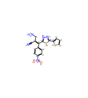 N#C/C(CN)=C(\c1ccc([N+](=O)[O-])cc1)c1nnc(-c2cccs2)s1